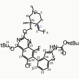 CN1CC/C(=C\F)[C@](C)(COc2nc(OC(C)(C)C)c3cc(C(F)(F)F)c(-c4cccc5sc(NC(=O)OC(C)(C)C)cc45)c(F)c3n2)C1